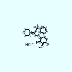 COc1c(F)cc2c3ccnc(C(F)(F)F)c3n(CCN3CCOCC3)c2c1F.Cl